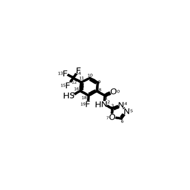 O=C(Nc1nnco1)c1ccc(C(F)(F)F)c(S)c1F